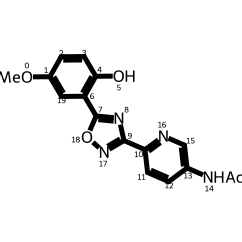 COc1ccc(O)c(-c2nc(-c3ccc(NC(C)=O)cn3)no2)c1